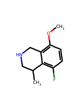 COc1ccc(F)c2c1CNCC2C